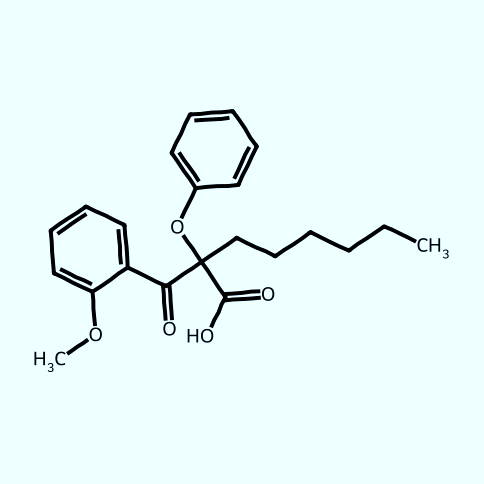 CCCCCCC(Oc1ccccc1)(C(=O)O)C(=O)c1ccccc1OC